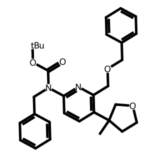 CC(C)(C)OC(=O)N(Cc1ccccc1)c1ccc(C2(C)CCOC2)c(COCc2ccccc2)n1